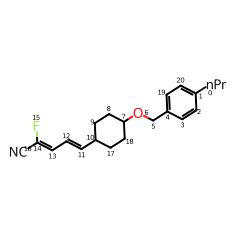 CCCc1ccc(COC2CCC(C=CC=C(F)C#N)CC2)cc1